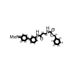 CNc1ccc(-c2cccc(NC(=O)CCNC(=O)OCc3ccccc3)c2)cc1